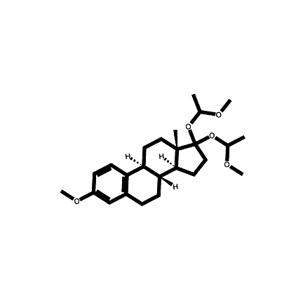 COc1ccc2c(c1)CC[C@@H]1[C@@H]2CC[C@@]2(C)[C@H]1CCC2(OC(C)OC)OC(C)OC